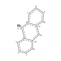 [Rb].c1ccc2cc3ccccc3cc2c1